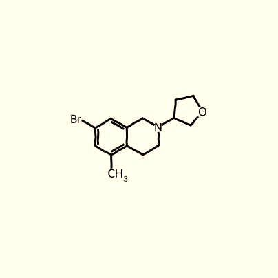 Cc1cc(Br)cc2c1CCN(C1CCOC1)C2